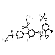 CCOC(=O)c1cc(NC(=O)C2(c3ccc(OC(F)(F)F)cc3F)CC2)cc(F)c1-c1ccc(C(F)(F)CC)nc1